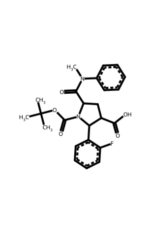 CN(C(=O)C1CC(C(=O)O)C(c2ccccc2F)N1C(=O)OC(C)(C)C)c1ccccc1